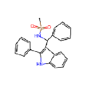 CS(=O)(=O)NC(c1ccccc1)c1c(-c2ccccc2)[nH]c2ccccc12